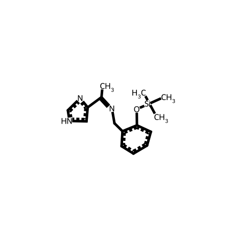 CC(=NCc1ccccc1O[Si](C)(C)C)c1c[nH]cn1